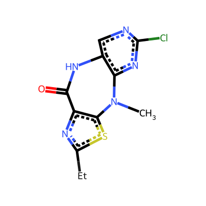 CCc1nc2c(s1)N(C)c1nc(Cl)ncc1NC2=O